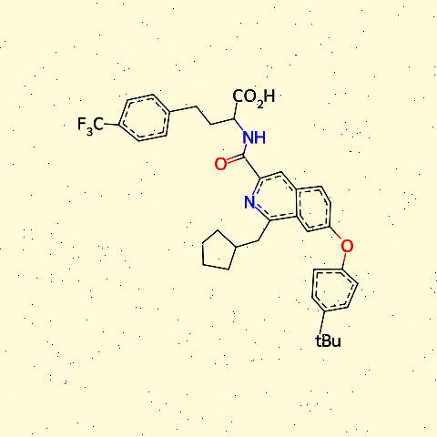 CC(C)(C)c1ccc(Oc2ccc3cc(C(=O)NC(CCc4ccc(C(F)(F)F)cc4)C(=O)O)nc(CC4CCCC4)c3c2)cc1